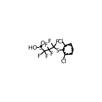 O=S(O)C(F)(F)C(F)(F)C(F)(F)Sc1c(Cl)cccc1Cl